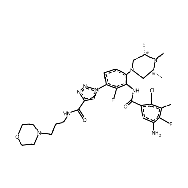 Cc1c(F)c(N)cc(C(=O)Nc2c(N3C[C@@H](C)N(C)[C@@H](C)C3)ccc(-n3cc(C(=O)NCCCN4CCOCC4)nn3)c2F)c1Cl